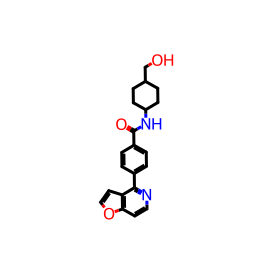 O=C(NC1CCC(CO)CC1)c1ccc(-c2nccc3occc23)cc1